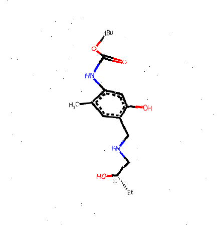 CC[C@H](O)CNCc1cc(C)c(NC(=O)OC(C)(C)C)cc1O